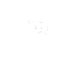 CC(Nc1nc(Cl)nc2c1ncn2C1CCCO1)c1ccco1